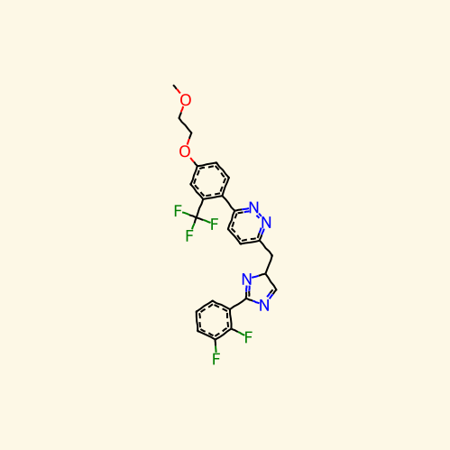 COCCOc1ccc(-c2ccc(CC3C=NC(c4cccc(F)c4F)=N3)nn2)c(C(F)(F)F)c1